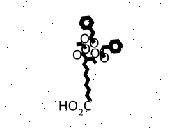 CC(OC(=O)Cc1ccccc1)OC(=O)C(CCCCCCCCC(=O)O)C(C)OC(=O)Cc1ccccc1